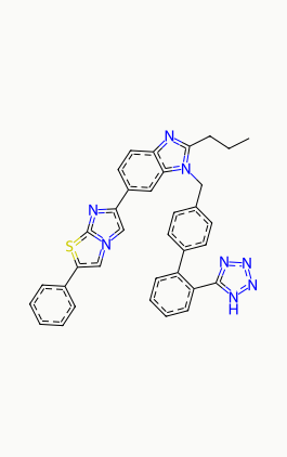 CCCc1nc2ccc(-c3cn4cc(-c5ccccc5)sc4n3)cc2n1Cc1ccc(-c2ccccc2-c2nnn[nH]2)cc1